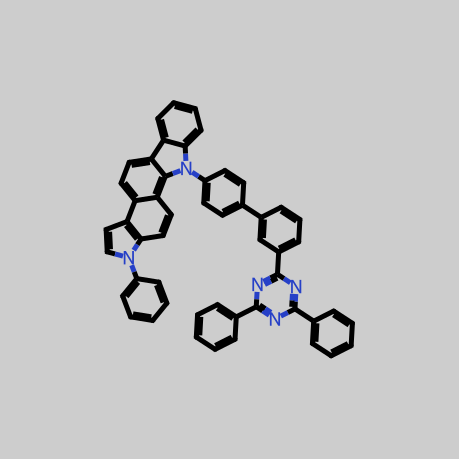 c1ccc(-c2nc(-c3ccccc3)nc(-c3cccc(-c4ccc(-n5c6ccccc6c6ccc7c8ccn(-c9ccccc9)c8ccc7c65)cc4)c3)n2)cc1